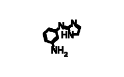 Nc1cccc(N=C2N=CCN2)c1